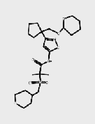 CC(C)(C(=O)Nc1cc(C2(COC3CCCCO3)CCCC2)no1)S(=O)(=O)CC1CCOCC1